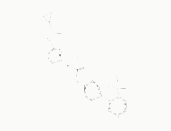 CC(C)(C(=O)Nc1ccc(-c2cnccc2C(F)(F)F)cc1)c1csc(N[S+]([O-])C2CC2)n1